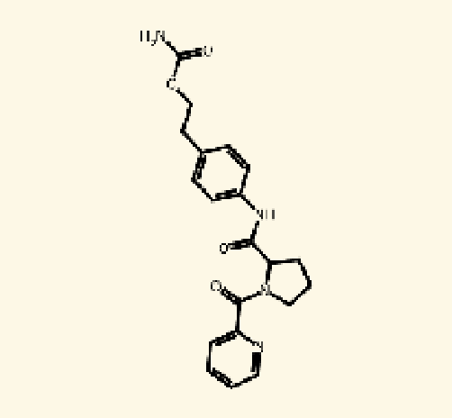 NC(=O)OCCc1ccc(NC(=O)C2CCCN2C(=O)c2ccccn2)cc1